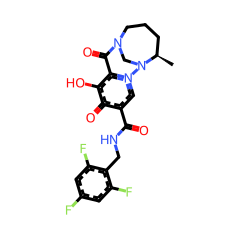 C[C@@H]1CCCN2CN1n1cc(C(=O)NCc3c(F)cc(F)cc3F)c(=O)c(O)c1C2=O